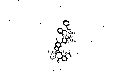 CN1C(=O)c2cccc(OC(F)F)c2[C@@H]2CC1(C)C1=Cc3cc(F)c(-c4cnc(C(C)(C)OP(=O)(OCc5ccccc5)OCc5ccccc5)nc4)cc3C12